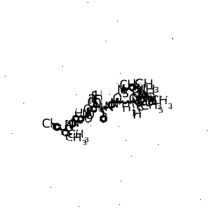 CC(=O)O[C@@H]1C[C@@H](C(=O)N[C@@H](C)c2ccc(-c3scnc3C)cc2)N(C(=O)[C@@H](NC(=O)CCCCCC(=O)N2CCN(CC[C@H](CSc3ccccc3)Nc3ccc(S(=O)(=O)NC(=O)c4ccc5c(c4)CCC4CN(CC6=C(c7ccc(Cl)cc7)CCC(C)(C)C6)CCN54)cc3S(=O)(=O)C(F)(F)F)CC2)C(C)(C)C)C1